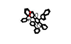 c1ccc(-c2ccc(N(c3ccccc3-c3ccccc3)c3cccc4oc5c(-c6ccc7ccccc7c6)c6c(cc5c34)oc3ccccc36)cc2)cc1